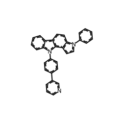 c1ccc(-n2ccc3c2ccc2c4ccccc4n(-c4ccc(-c5cccnc5)cc4)c23)cc1